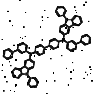 C1=CC(N(c2cccc(-c3ccccc3)c2)c2ccc3c(c2)c2ccccc2n3-c2ccccc2)CC=C1c1ccc(N(c2cccc(-c3ccccc3)c2)c2ccc3c(c2)c2ccccc2n3-c2ccccc2)cc1